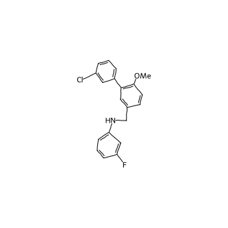 COc1ccc(CNc2cccc(F)c2)cc1-c1cccc(Cl)c1